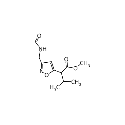 COC(=O)C(c1cc(CNC=O)no1)C(C)C